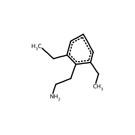 CCc1cccc(CC)c1CCN